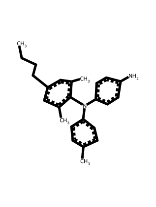 CCCCc1cc(C)c(N(c2ccc(C)cc2)c2ccc(N)cc2)c(C)c1